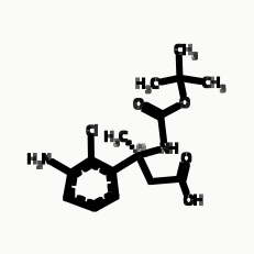 CC(C)(C)OC(=O)N[C@@](C)(CC(=O)O)c1cccc(N)c1Cl